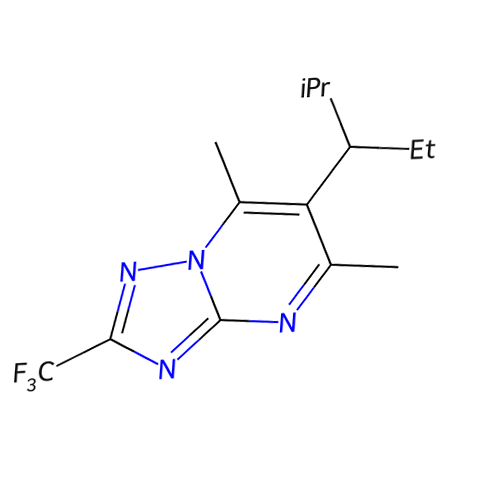 CCC(c1c(C)nc2nc(C(F)(F)F)nn2c1C)C(C)C